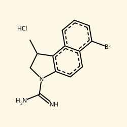 CC1CN(C(=N)N)c2ccc3c(Br)cccc3c21.Cl